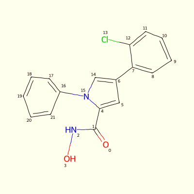 O=C(NO)c1cc(-c2ccccc2Cl)cn1-c1ccccc1